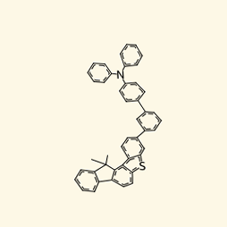 CC1(C)c2ccccc2-c2ccc3sc4cc(-c5cccc(-c6ccc(N(c7ccccc7)c7ccccc7)cc6)c5)ccc4c3c21